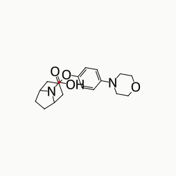 O=C(O)N1C2CCC1CC(Oc1ccc(N3CCOCC3)cc1)C2